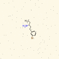 CCC(N)CCc1cccc(Br)c1